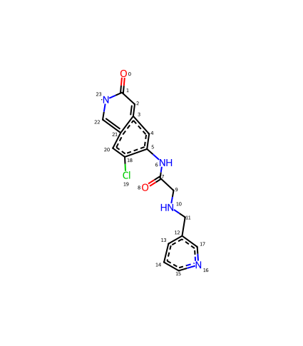 O=C1C=c2cc(NC(=O)CNCc3cccnc3)c(Cl)cc2=C[N]1